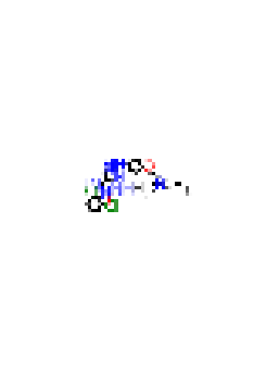 CN(C)CCOc1ccc(Nc2ncc3c(=N)n(-c4c(Cl)cccc4Cl)c(=O)[nH]c3n2)cc1